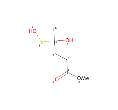 COC(=O)CCC(C)(O)SO